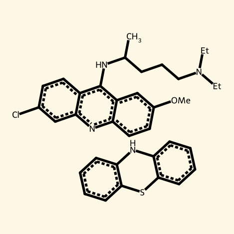 CCN(CC)CCCC(C)Nc1c2ccc(Cl)cc2nc2ccc(OC)cc12.c1ccc2c(c1)Nc1ccccc1S2